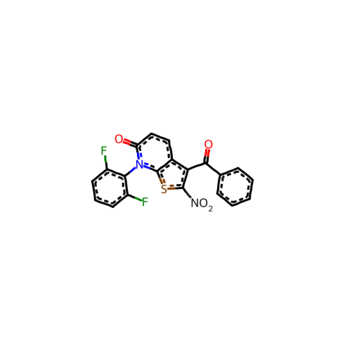 O=C(c1ccccc1)c1c([N+](=O)[O-])sc2c1ccc(=O)n2-c1c(F)cccc1F